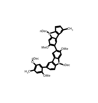 CCCCCCCCCCOc1cc(-c2ccc3c(c2)c2cc(-c4cc5c6cc(C)ccc6n(CCCCCCCCCC)c5cc4OC)c(OC)cc2n3CCCCCCCCCC)c(OC)cc1C